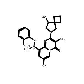 Cc1cc([C@@H](C)Nc2ccccc2C(=O)O)c2nc(N3CC(O)C4(CCC4)C3)c(C)c(=O)n2c1